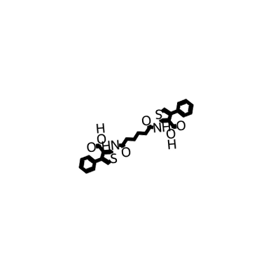 O=C(CCCCC(=O)Nc1scc(-c2ccccc2)c1C(=O)O)Nc1scc(-c2ccccc2)c1C(=O)O